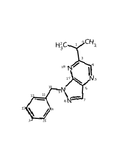 CC(C)c1cnc2cnn(Cc3ccccc3)c2n1